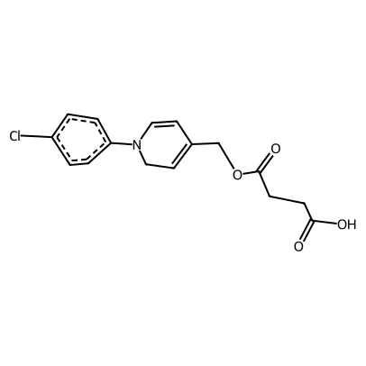 O=C(O)CCC(=O)OCC1=CCN(c2ccc(Cl)cc2)C=C1